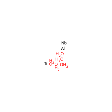 O.O.O.O.O.[Al].[Nb].[Ti]